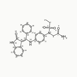 CCS(=O)(=O)N(CC(N)=O)c1ccc(NC(=C2C(=O)Nc3ccccc32)c2ccccc2)cc1